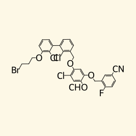 N#Cc1ccc(F)c(COc2cc(OCc3cccc(-c4cccc(OCCCBr)c4Cl)c3Cl)c(Cl)cc2C=O)c1